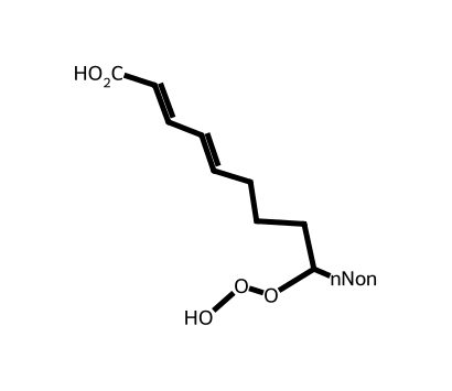 CCCCCCCCCC(CCCC=CC=CC(=O)O)OOO